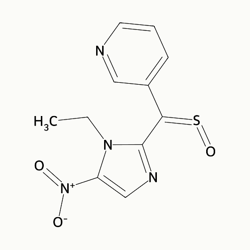 CCn1c([N+](=O)[O-])cnc1C(=S=O)c1cccnc1